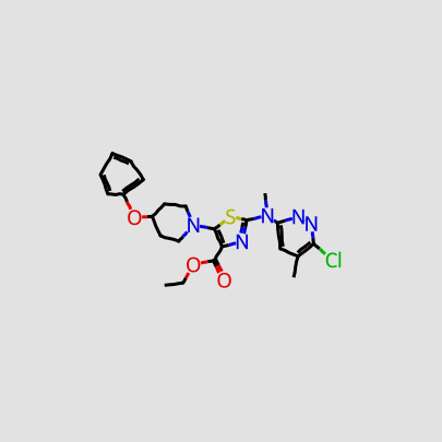 CCOC(=O)c1nc(N(C)c2cc(C)c(Cl)nn2)sc1N1CCC(Oc2ccccc2)CC1